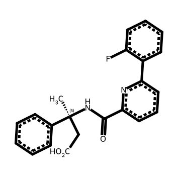 C[C@@](CC(=O)O)(NC(=O)c1cccc(-c2ccccc2F)n1)c1ccccc1